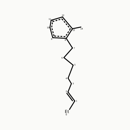 CCC=CCCCCCc1ccccc1C